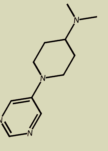 CN(C)C1CCN(c2cncnc2)CC1